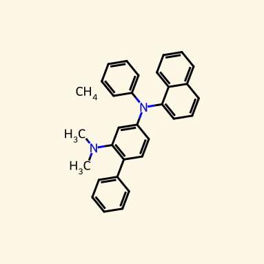 C.CN(C)c1cc(N(c2ccccc2)c2cccc3ccccc23)ccc1-c1ccccc1